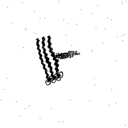 CCCCCCCCCCCCCCCCCC(=O)[O-].CCCCCCCCCCCCCCCCCC(=O)[O-].CCCCCCCCCCCCCCCCCC(=O)[O-].[Al+3].[Al+3].[O-2].[O-2].[OH-].[OH-].[OH-].[Ti+4]